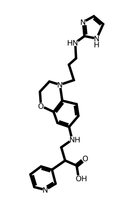 O=C(O)C(CNc1ccc2c(c1)OCCN2CCCNc1ncc[nH]1)c1cccnc1